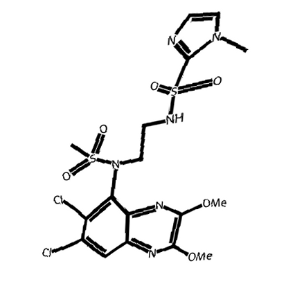 COc1nc2cc(Cl)c(Cl)c(N(CCNS(=O)(=O)c3nccn3C)S(C)(=O)=O)c2nc1OC